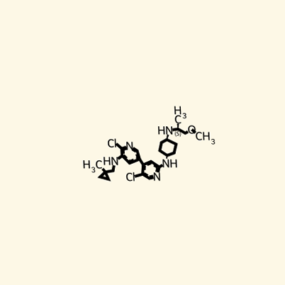 COC[C@H](C)N[C@H]1CC[C@H](Nc2cc(-c3cnc(Cl)c(NCC4(C)CC4)c3)c(Cl)cn2)CC1